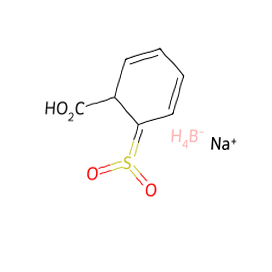 O=C(O)C1C=CC=CC1=S(=O)=O.[BH4-].[Na+]